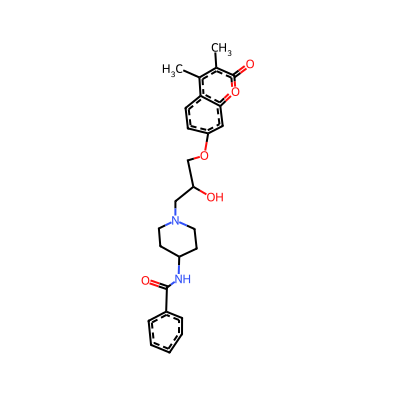 Cc1c(C)c2ccc(OCC(O)CN3CCC(NC(=O)c4ccccc4)CC3)cc2oc1=O